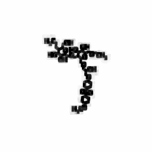 CCCC1C(CO)OC(COCC2C(COC[C@@H](O)COc3ccc(S(=O)(=O)c4ccc(OC)cc4)cc3)OC(COCC)C(O)C2O)C(O)C1O